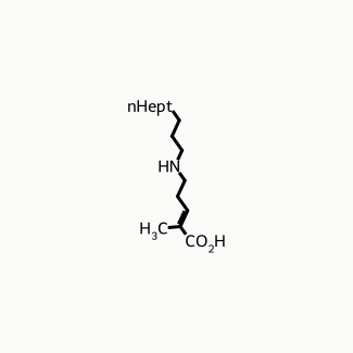 CCCCCCCCCCNCCC=C(C)C(=O)O